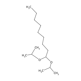 CCCCCCCCC(OC(C)C)OC(C)C